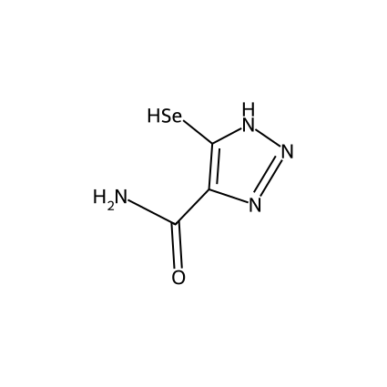 NC(=O)c1nn[nH]c1[SeH]